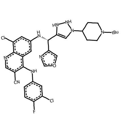 CC(C)(C)N1CCC(N2C=C([C@@H](Nc3cc(Cl)c4ncc(C#N)c(Nc5ccc(F)c(Cl)c5)c4c3)c3cocn3)NN2)CC1